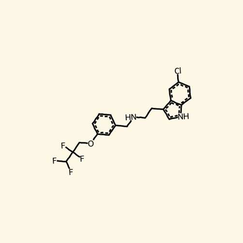 FC(F)C(F)(F)COc1cccc(CNCCc2c[nH]c3ccc(Cl)cc23)c1